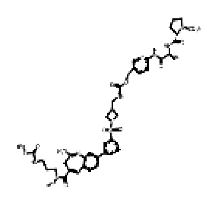 CCCN(CCCNC(=O)OC(C)(C)C)C(=O)C1=Cc2ccc(-c3cccc(S(=O)(=O)N4CC(CNC(=O)OCc5ccc(NC(=O)C(NC(=O)[C@@H]6CCCN6C(=O)O)C(C)C)cc5)C4)c3)cc2N=C(N)C1